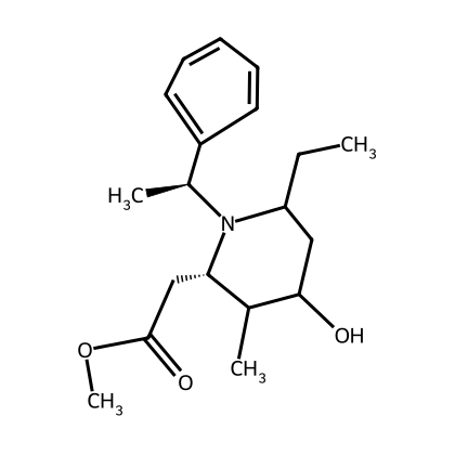 CCC1CC(O)C(C)[C@H](CC(=O)OC)N1[C@@H](C)c1ccccc1